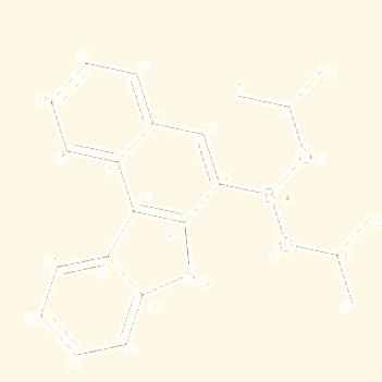 CC(C)OB(OC(C)C)c1cc2ccccc2c2c1sc1ccccc12